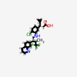 C[C@H]([C@H](CNc1cc([C@@H](CC(=O)O)C2CC2)ccc1Cl)c1ccc2cccnc2c1)C(F)(F)F